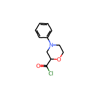 O=C(Cl)C1CN(c2ccccc2)CCO1